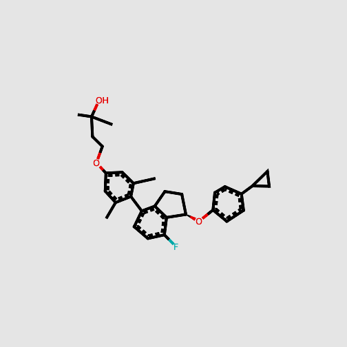 Cc1cc(OCCC(C)(C)O)cc(C)c1-c1ccc(F)c2c1CC[C@H]2Oc1ccc(C2CC2)cc1